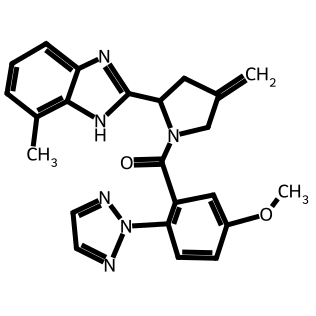 C=C1CC(c2nc3cccc(C)c3[nH]2)N(C(=O)c2cc(OC)ccc2-n2nccn2)C1